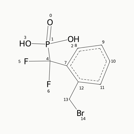 O=P(O)(O)C(F)(F)c1ccccc1CBr